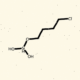 O[SiH](O)OCCCCCl